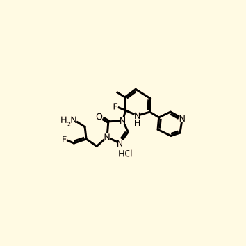 CC1=CC=C(c2cccnc2)NC1(F)n1cnn(C/C(=C/F)CN)c1=O.Cl